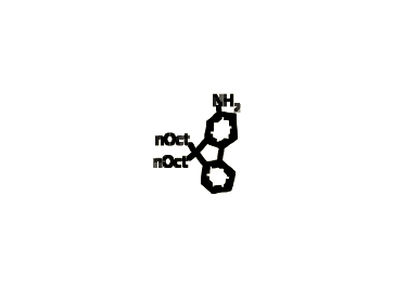 CCCCCCCCC1(CCCCCCCC)c2ccccc2-c2ccc(N)cc21